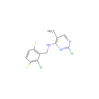 O=C(O)c1cnc(Cl)nc1NCc1c(F)ccc(F)c1Cl